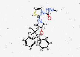 CNC(=O)N1C=CSC1N1CC(O[Si](c2ccccc2)(c2ccccc2)C(C)(C)C)C1